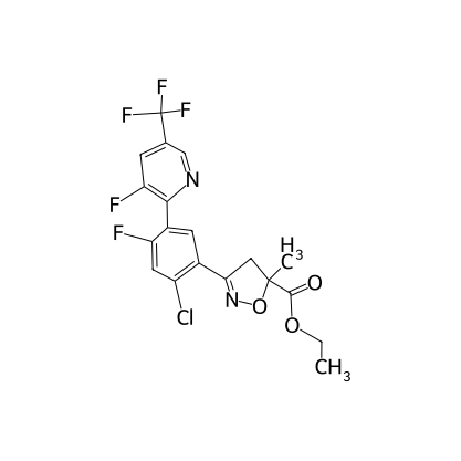 CCOC(=O)C1(C)CC(c2cc(-c3ncc(C(F)(F)F)cc3F)c(F)cc2Cl)=NO1